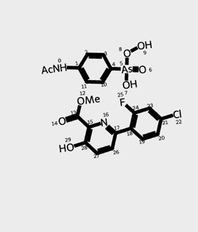 CC(=O)Nc1ccc([As](=O)(O)OO)cc1.COC(=O)c1nc(-c2ccc(Cl)cc2F)ccc1O